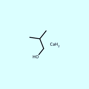 CC(C)CO.[CaH2]